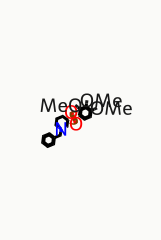 COc1ccc(S(=O)(=O)C2CCCN(Cc3ccccc3)C2)c(OC)c1OC